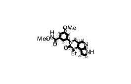 CCN1C(=O)N(c2cc(OC)cc(C(=O)NOC)c2)Cc2cnc3[nH]ccc3c21